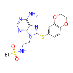 CCS(=O)(=O)NCCn1c(Sc2cc3c(cc2I)OCCO3)nc2c(N)ncnc21